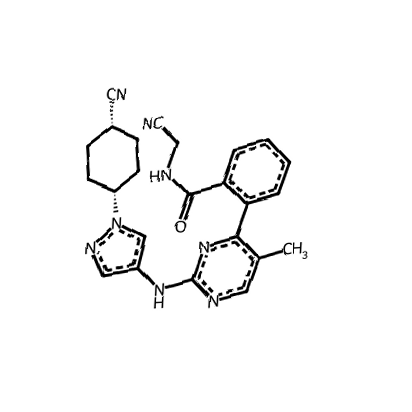 Cc1cnc(Nc2cnn([C@H]3CC[C@@H](C#N)CC3)c2)nc1-c1ccccc1C(=O)NCC#N